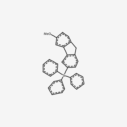 COc1ccc2c(c1)-c1cc([Si](c3ccccc3)(c3ccccc3)c3ccccc3)ccc1C2